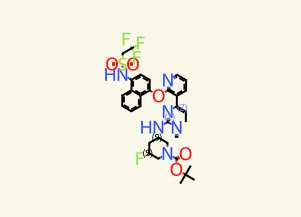 C=N/C(=N\C(=C/C)c1cccnc1Oc1ccc(NS(=O)(=O)CC(F)(F)F)c2ccccc12)N[C@H]1C[C@H](F)CN(C(=O)OC(C)(C)C)C1